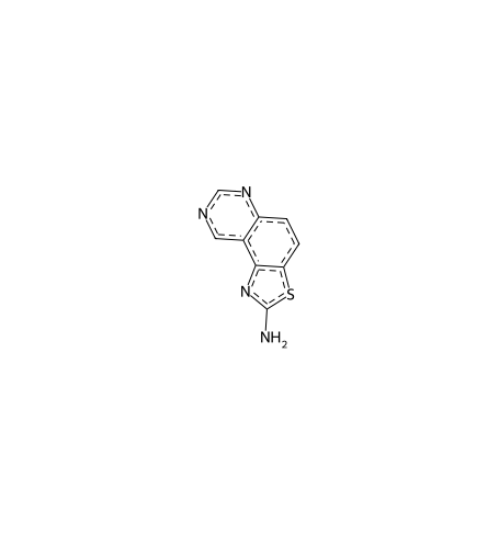 Nc1nc2c(ccc3ncncc32)s1